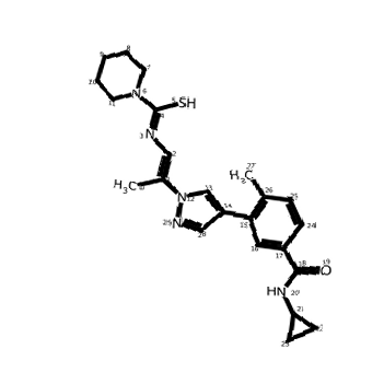 C/C(=C\N=C(/S)N1CCCCC1)n1cc(-c2cc(C(=O)NC3CC3)ccc2C)cn1